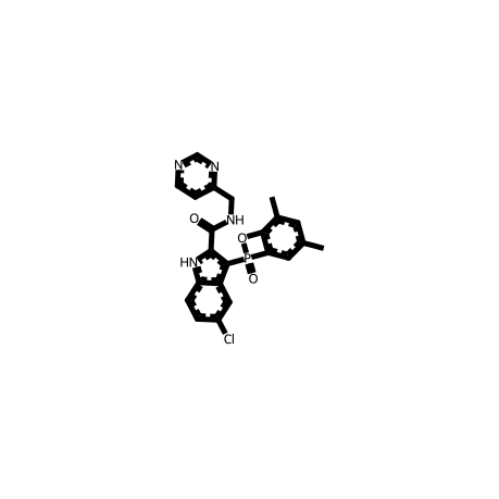 Cc1cc(C)c2c(c1)P(=O)(c1c(C(=O)NCc3ccncn3)[nH]c3ccc(Cl)cc13)O2